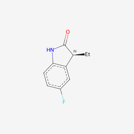 CC[C@@H]1C(=O)Nc2ccc(F)cc21